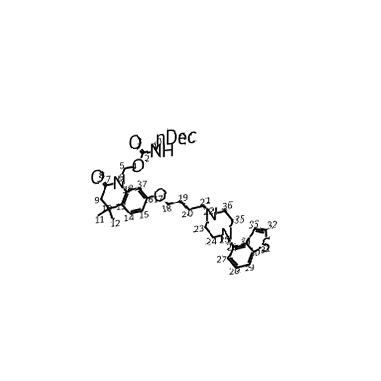 CCCCCCCCCCNC(=O)OCN1C(=O)CC(C)(C)c2ccc(OCCCCN3CCN(c4cccc5sccc45)CC3)cc21